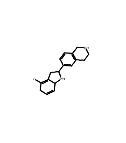 FC1=C2CC(c3ccc4c(c3)CCNC4)NC2C=CC1